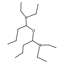 CCCC(OC(CCC)N(CC)CC)N(CC)CC